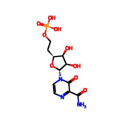 NC(=O)c1nccn([C@@H]2O[C@H](CCOP(=O)(O)O)[C@@H](O)[C@H]2O)c1=O